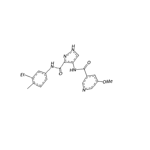 CCc1cc(NC(=O)c2n[nH]cc2NC(=O)c2cncc(OC)c2)ccc1C